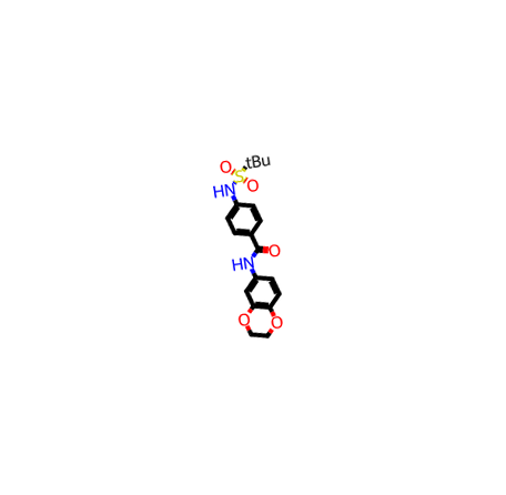 CC(C)(C)S(=O)(=O)Nc1ccc(C(=O)Nc2ccc3c(c2)OCCO3)cc1